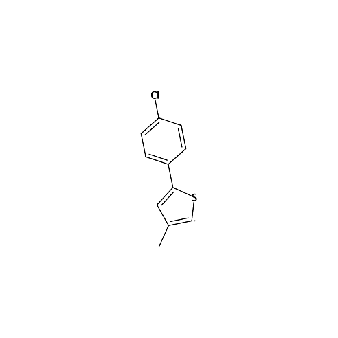 Cc1[c]sc(-c2ccc(Cl)cc2)c1